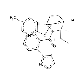 O=C(c1ccccc1-n1nccn1)N1[C@H](CF)[C@@H]2CC[C@H]1[C@H](Oc1ccc(C(F)(F)F)cn1)C2